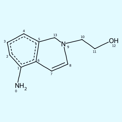 Nc1cccc2c1C=CN(CCO)C2